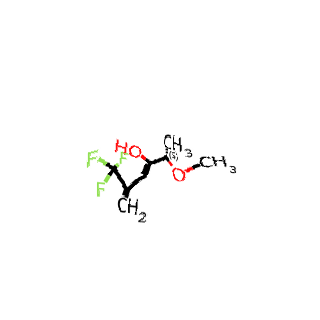 C=C(C=C(O)[C@H](C)OC)C(F)(F)F